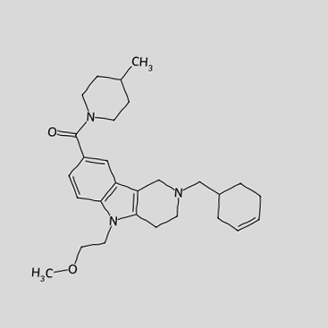 COCCn1c2c(c3cc(C(=O)N4CCC(C)CC4)ccc31)CN(CC1CC=CCC1)CC2